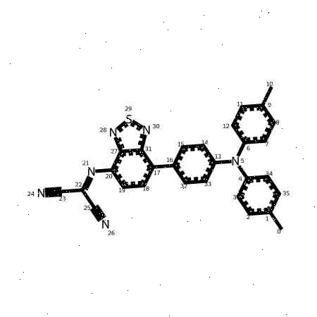 Cc1ccc(N(c2ccc(C)cc2)c2ccc(-c3ccc(N=C(C#N)C#N)c4nsnc34)cc2)cc1